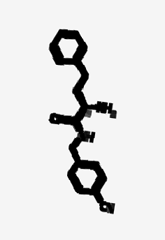 N#Cc1ccc(CNC(=O)[C@@H](N)CCc2ccccc2)cc1